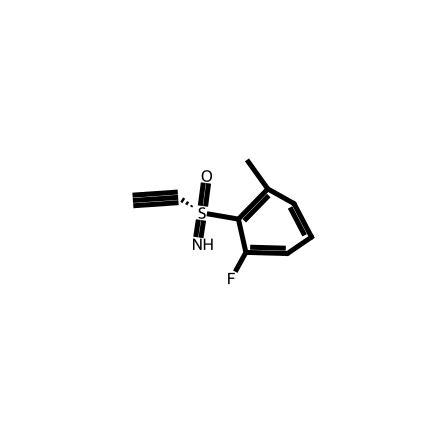 C#C[S@](=N)(=O)c1c(C)cccc1F